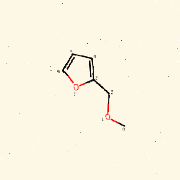 COCc1ccco1